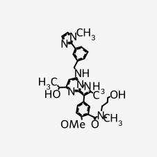 COc1ccc(-c2c(C)nn3c(NCc4cccc(-c5nccn5C)c4)cc(C(C)O)nc23)cc1C(=O)N(C)CCCO